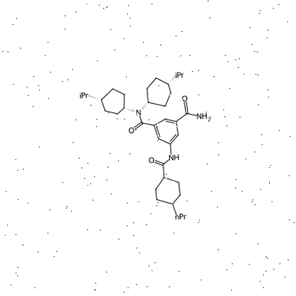 CCCC1CCC(C(=O)Nc2cc(C(N)=O)cc(C(=O)N([C@H]3CC[C@@H](C(C)C)CC3)[C@H]3CC[C@@H](C(C)C)CC3)c2)CC1